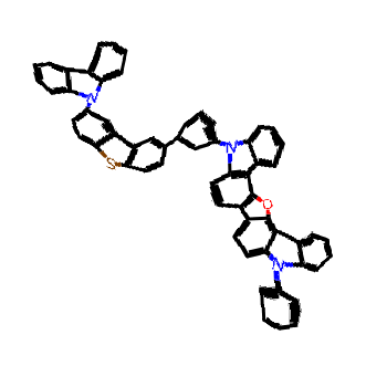 c1ccc(-n2c3ccccc3c3c4oc5c(ccc6c5c5ccccc5n6-c5cccc(-c6ccc7sc8ccc(-n9c%10ccccc%10c%10ccccc%109)cc8c7c6)c5)c4ccc32)cc1